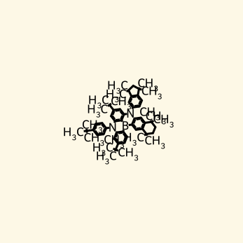 Cc1cc(C(C)(C)C)ccc1N1c2cc(C(C)(C)C)ccc2B2c3cc4c(cc3N(c3cc5c(cc3C)C(C)(C)CC5(C)C)c3cc(C(C)(C)C)cc1c32)C(C)(C)CCC4(C)C